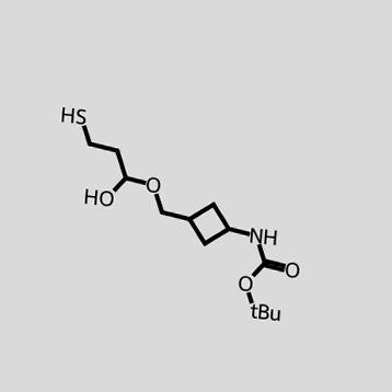 CC(C)(C)OC(=O)NC1CC(COC(O)CCS)C1